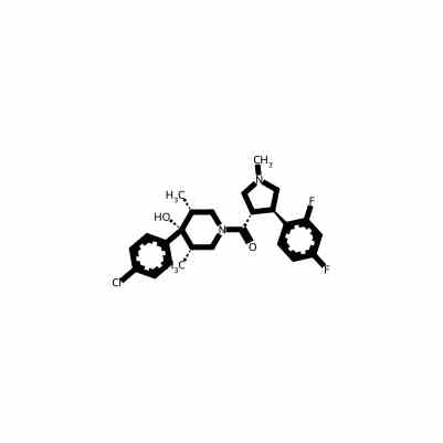 C[C@@H]1CN(C(=O)[C@@H]2CN(C)C[C@H]2c2ccc(F)cc2F)C[C@H](C)[C@@]1(O)c1ccc(Cl)cc1